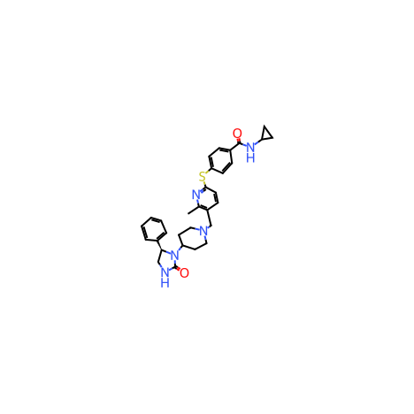 Cc1nc(Sc2ccc(C(=O)NC3CC3)cc2)ccc1CN1CCC(N2C(=O)NC[C@H]2c2ccccc2)CC1